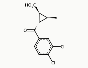 C[C@@H]1[C@H](C(=O)O)[C@H]1C(=O)c1ccc(Cl)c(Cl)c1